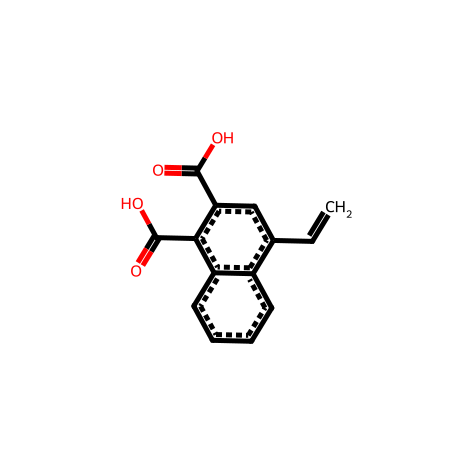 C=Cc1cc(C(=O)O)c(C(=O)O)c2ccccc12